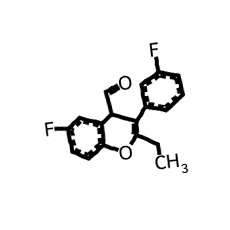 CCC1=C(c2cccc(F)c2)C(C=O)c2cc(F)ccc2O1